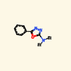 CCN(CC)c1nnc(-c2ccccc2)o1